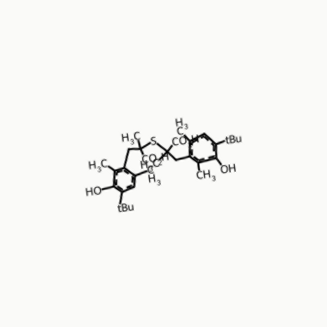 Cc1cc(C(C)(C)C)c(O)c(C)c1CC(C)(SC(C)(Cc1c(C)cc(C(C)(C)C)c(O)c1C)C(=O)O)C(=O)O